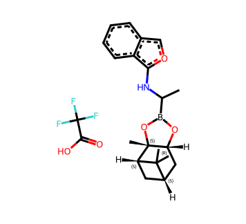 CC(Nc1occ2ccccc12)B1O[C@@H]2C[C@@H]3C[C@@H](C3(C)C)[C@]2(C)O1.O=C(O)C(F)(F)F